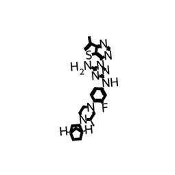 Cc1csc2c(-n3nc(Nc4ccc(N5CCN([C@H]6C[C@@H]7CC[C@H]6C7)[C@H](C)C5)c(F)c4)nc3N)ncnc12